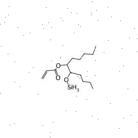 C=CC(=O)OC(CCCCC)C(CCCC)O[SiH3]